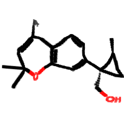 CC(C)C1=CC(C)(C)Oc2cc([C@]3(CO)C[C@@H]3C)ccc21